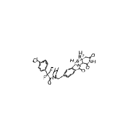 BC1(B)CC(=O)NC(=O)C1N1Cc2cc(CNC(=O)C(F)(F)c3ccc(Cl)cc3)ccc2C1=O